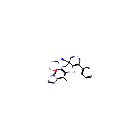 Cc1c(NC2=C(c3cccnc3)CN=CC2(C#N)CN2CCOCC2)ccc2[nH]ccc12